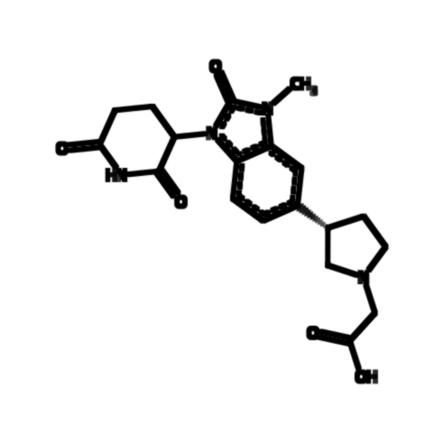 Cn1c(=O)n(C2CCC(=O)NC2=O)c2ccc([C@@H]3CCN(CC(=O)O)C3)cc21